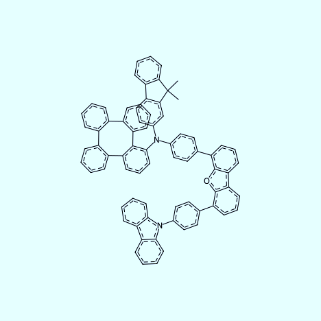 CC1(C)c2ccccc2-c2ccc(N(c3ccc(-c4cccc5c4oc4c(-c6ccc(-n7c8ccccc8c8ccccc87)cc6)cccc45)cc3)c3cccc4c3-c3ccccc3-c3ccccc3-c3ccccc3-4)cc21